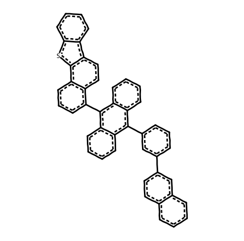 c1cc(-c2ccc3ccccc3c2)cc(-c2c3ccccc3c(-c3cccc4c3ccc3c5ccccc5sc43)c3ccccc23)c1